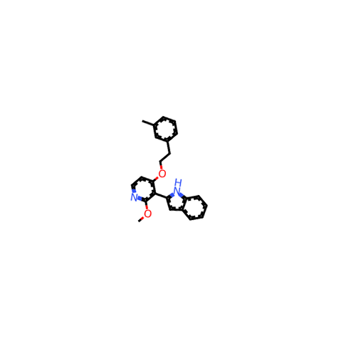 COc1nccc(OCCc2cccc(C)c2)c1-c1cc2ccccc2[nH]1